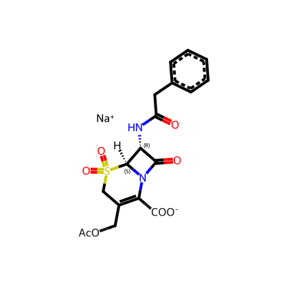 CC(=O)OCC1=C(C(=O)[O-])N2C(=O)[C@@H](NC(=O)Cc3ccccc3)[C@@H]2S(=O)(=O)C1.[Na+]